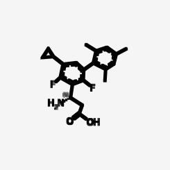 Cc1cc(C)c(-c2cc(C3CC3)c(F)c([C@@H](N)CC(=O)O)c2F)c(C)c1